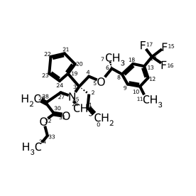 C=CC[C@@](CO[C@H](C)c1cc(C)cc(C(F)(F)F)c1)(c1ccccc1)N(C)CC(=C)C(=O)OCC